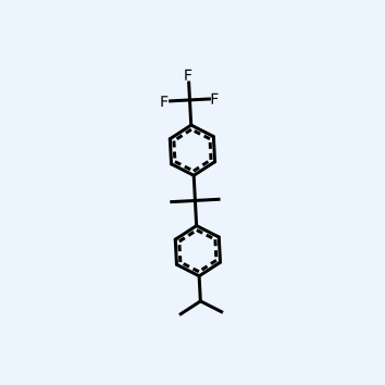 CC(C)c1ccc(C(C)(C)c2ccc(C(F)(F)F)cc2)cc1